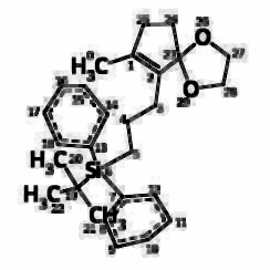 CC1=C(CCC[Si](c2ccccc2)(c2ccccc2)C(C)(C)C)C2(CC1)OCCO2